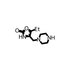 CCc1oc(=O)[nH]c1CN1CCNCC1